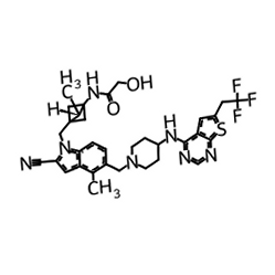 Cc1c(CN2CCC(Nc3ncnc4sc(CC(F)(F)F)cc34)CC2)ccc2c1cc(C#N)n2CC12CC(NC(=O)CO)(C1)[C@H]2C